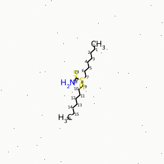 CCCCCCCC[SH](CCCCCCCC)C(N)=S